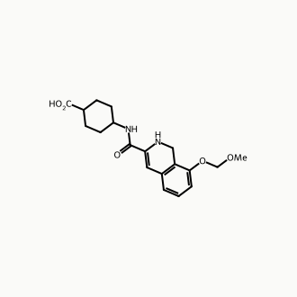 COCOc1cccc2c1CNC(C(=O)NC1CCC(C(=O)O)CC1)=C2